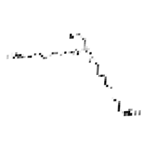 CCCCCCCCCCCCCCCCCCOC[C@H](CC#N)OCCCCCCCCCCCCCCCC